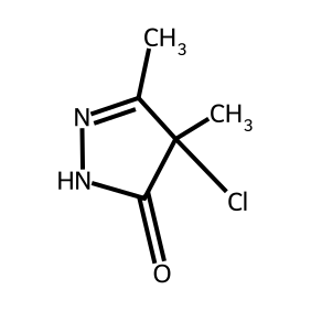 CC1=NNC(=O)C1(C)Cl